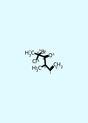 C=CC(C)C(=O)C(C)(Cl)Br